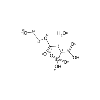 O.O=C(CC(C(=O)O)S(=O)(=O)O)OCCO